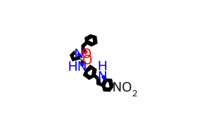 O=C(Nc1ccc(-c2cc3ccc([N+](=O)[O-])cc3[nH]2)cc1)[C@@H]1CCCN1C(=O)Cc1ccccc1